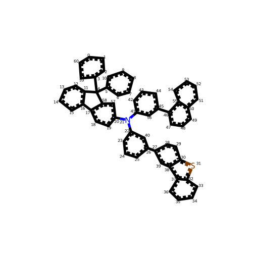 c1ccc(C2(c3ccccc3)c3ccccc3-c3ccc(N(c4cccc(-c5ccc6sc7ccccc7c6c5)c4)c4cccc(-c5cccc6ccccc56)c4)cc32)cc1